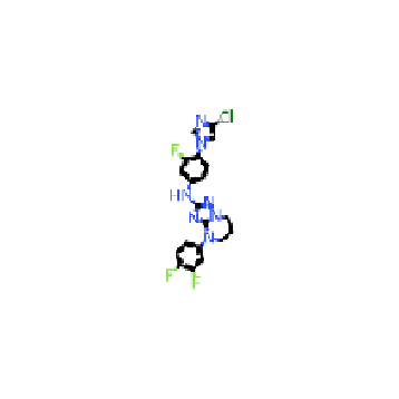 Fc1ccc(N2CCCn3nc(Nc4ccc(-n5cnc(Cl)c5)c(F)c4)nc32)cc1F